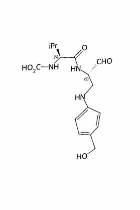 CC(C)[C@H](NC(=O)O)C(=O)N[C@H](C=O)CNc1ccc(CO)cc1